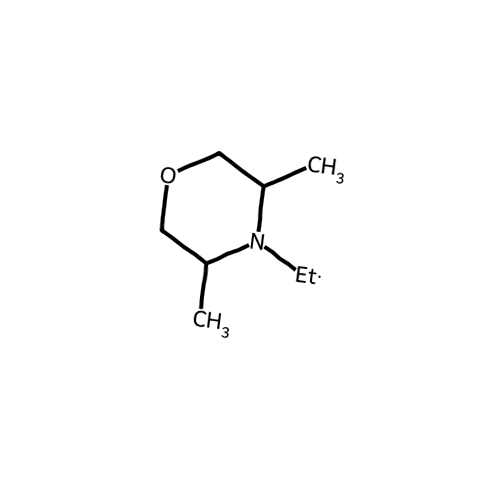 C[CH]N1C(C)COCC1C